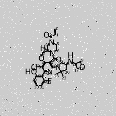 C=CC(=O)N1CCN2C(=O)c3c(N4CC(NC5COC5)CC4(C)C)nc(-c4c(O)cccc4F)c(Cl)c3OC[C@H]2C1